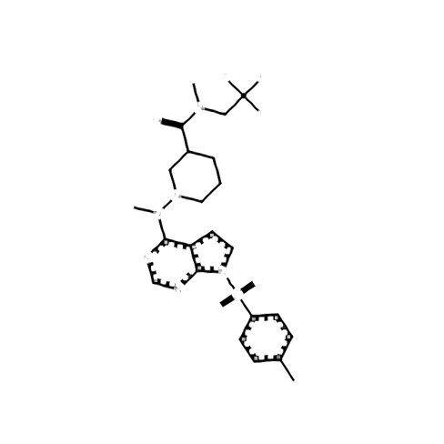 Cc1ccc(S(=O)(=O)n2ccc3c(N(C)N4CCCC(C(=O)N(C)CC(F)(F)F)C4)ncnc32)cc1